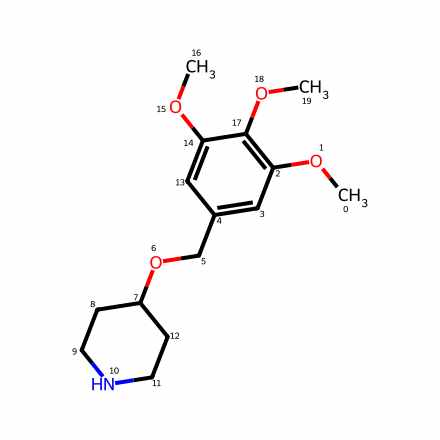 COc1cc(COC2CCNCC2)cc(OC)c1OC